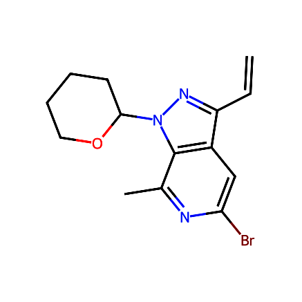 C=Cc1nn(C2CCCCO2)c2c(C)nc(Br)cc12